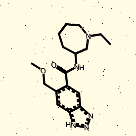 CCN1CCCCC(NC(=O)c2cc3nn[nH]c3cc2COC)C1